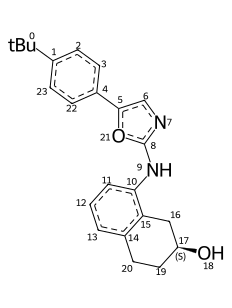 CC(C)(C)c1ccc(-c2cnc(Nc3cccc4c3C[C@@H](O)CC4)o2)cc1